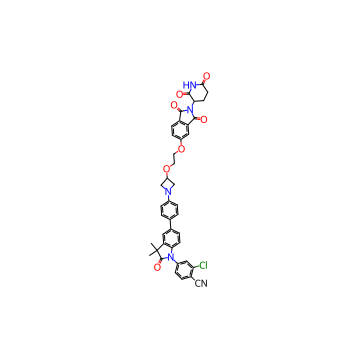 CC1(C)C(=O)N(c2ccc(C#N)c(Cl)c2)c2ccc(-c3ccc(N4CC(OCCOc5ccc6c(c5)C(=O)N(C5CCC(=O)NC5=O)C6=O)C4)cc3)cc21